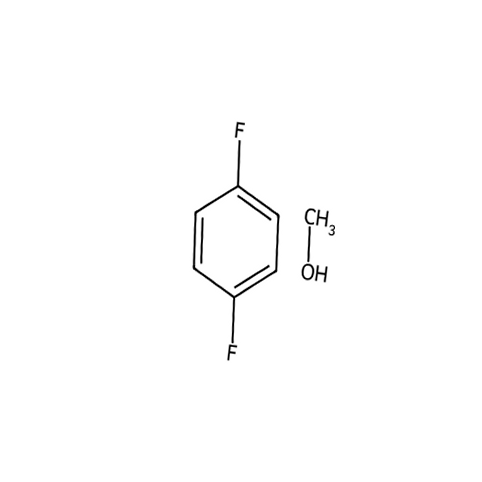 CO.Fc1ccc(F)cc1